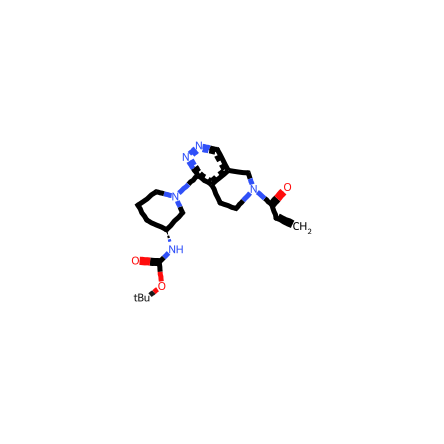 C=CC(=O)N1CCc2c(cnnc2N2CCC[C@@H](NC(=O)OC(C)(C)C)C2)C1